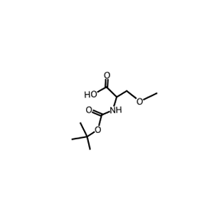 COCC(NC(=O)OC(C)(C)C)C(=O)O